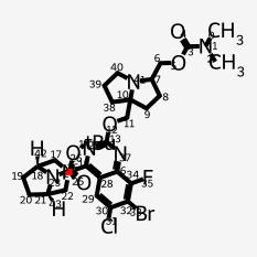 CN(C)C(=O)OCC1CCC2(COc3nc(N4C[C@H]5CC[C@@H](C4)N5C(=O)OC(C)(C)C)c4cc(Cl)c(Br)c(F)c4n3)CCCN12